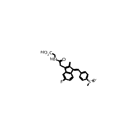 CC1=C(CC(=O)NCC(=O)O)c2cc(F)ccc2C1=Cc1ccc([S+](C)[O-])cc1